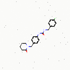 C[C@@H]1CCN(Cc2ccc(NC(=O)NCc3ccc(Cl)cc3)cc2)C(=O)C1